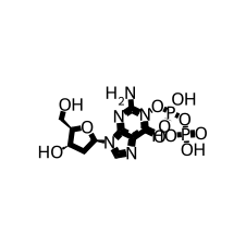 Nc1nc2c(ncn2[C@H]2C[C@H](O)[C@@H](CO)O2)c(=O)n1OP(=O)(O)OP(=O)(O)O